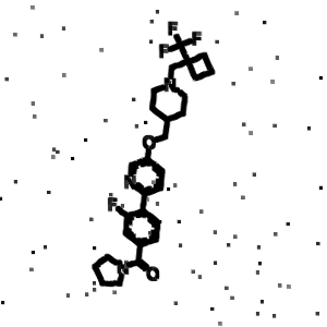 O=C(c1ccc(-c2ccc(OCC3CCN(CC4(C(F)(F)F)CCC4)CC3)cn2)c(F)c1)N1CCCC1